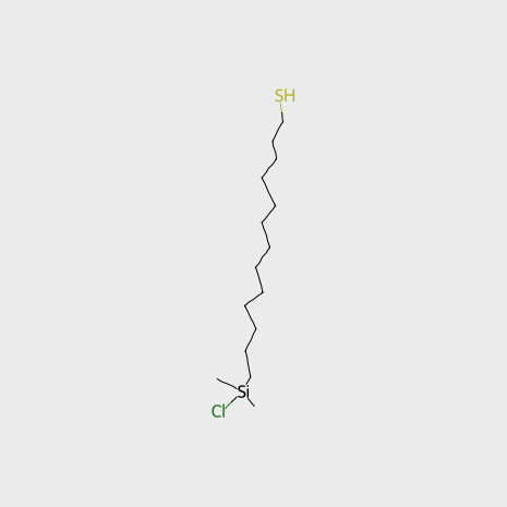 C[Si](C)(Cl)CCCCCCCCCCCCCS